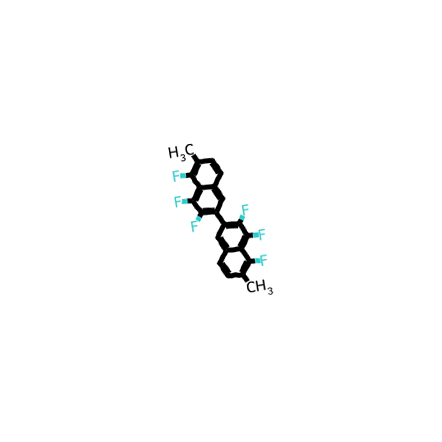 Cc1ccc2cc(-c3cc4ccc(C)c(F)c4c(F)c3F)c(F)c(F)c2c1F